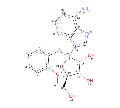 COc1ccccc1C[C@@]1(n2cnc3c(N)ncnc32)O[C@H](CO)[C@@H](O)[C@H]1O